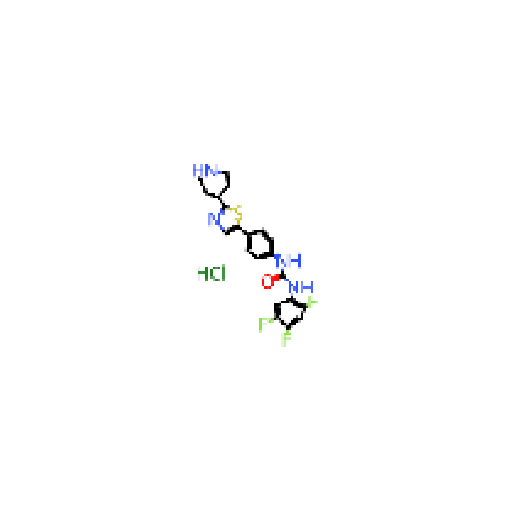 Cl.O=C(Nc1ccc(-c2cnc(C3CCNCC3)s2)cc1)Nc1cc(F)c(F)cc1F